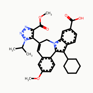 COC(=O)c1nnn(C(C)C)c1C1=Cc2cc(OC)ccc2-c2c(C3CCCCC3)c3ccc(C(=O)O)cc3n2C1